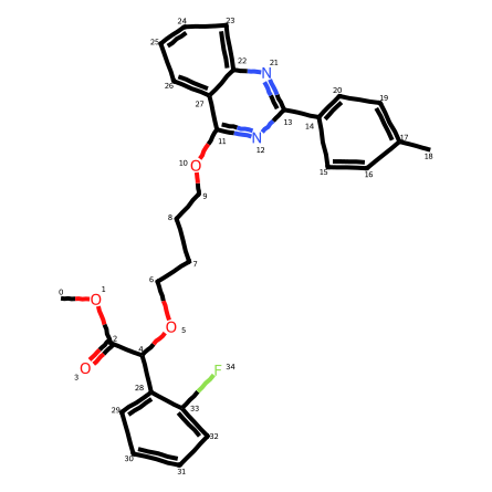 COC(=O)C(OCCCCOc1nc(-c2ccc(C)cc2)nc2ccccc12)c1ccccc1F